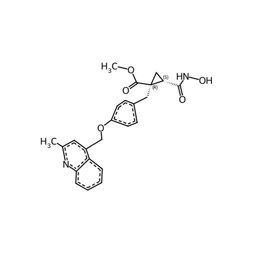 COC(=O)[C@@]1(Cc2ccc(OCc3cc(C)nc4ccccc34)cc2)C[C@@H]1C(=O)NO